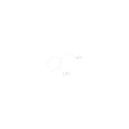 CCCCC1C=CC=C1.[LiH]